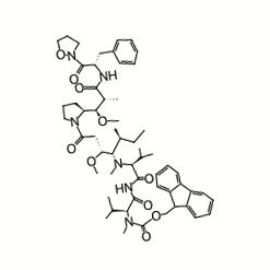 CC[C@H](C)[C@@H]([C@@H](CC(=O)N1CCC[C@H]1[C@H](OC)[C@@H](C)C(=O)N[C@@H](Cc1ccccc1)C(=O)N1CCCO1)OC)N(C)[C@H](C(=O)NC(=O)[C@H](C(C)C)N(C)C(=O)OCC1c2ccccc2-c2ccccc21)C(C)C